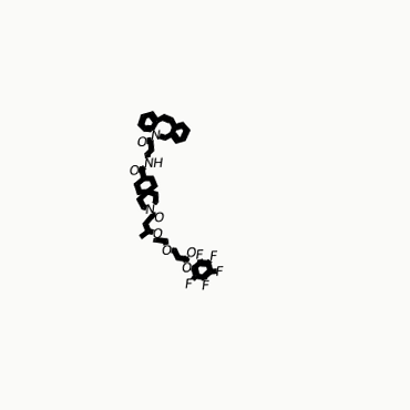 CC(CC(=O)N1CCC2(CCC(C(=O)NCCC(=O)N3Cc4ccccc4/C=C\c4ccccc43)CC2)CC1)OCCOCCC(=O)Oc1c(F)c(F)c(F)c(F)c1F